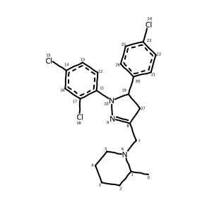 CC1CCCCN1CC1=NN(c2ccc(Cl)cc2Cl)C(c2ccc(Cl)cc2)C1